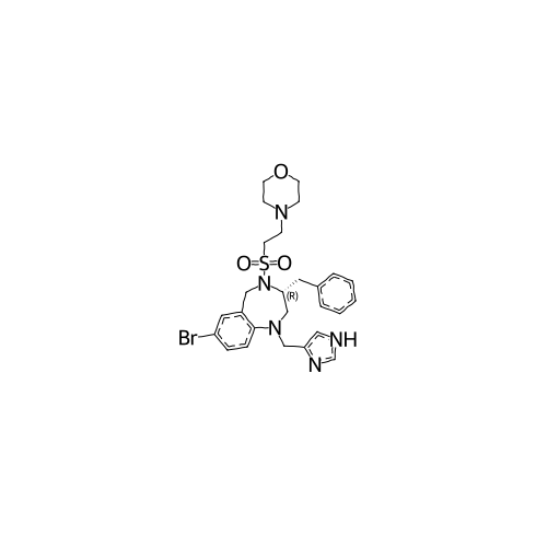 O=S(=O)(CCN1CCOCC1)N1Cc2cc(Br)ccc2N(Cc2c[nH]cn2)C[C@H]1Cc1ccccc1